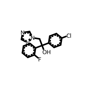 OC(Cn1cncn1)(c1ccc(Cl)cc1)c1ccccc1F